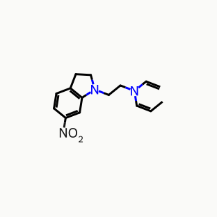 C=CN(/C=C\C)CCN1CCc2ccc([N+](=O)[O-])cc21